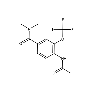 CC(=O)Nc1ccc(C(=O)N(C)C)cc1OC(F)(F)F